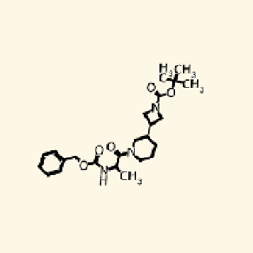 CC(NC(=O)OCc1ccccc1)C(=O)N1CCC[C@H](C2CN(C(=O)OC(C)(C)C)C2)C1